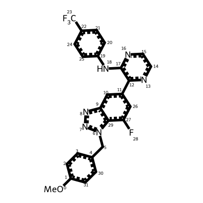 COc1ccc(Cn2nnc3cc(-c4nccnc4Nc4ccc(C(F)(F)F)cc4)cc(F)c32)cc1